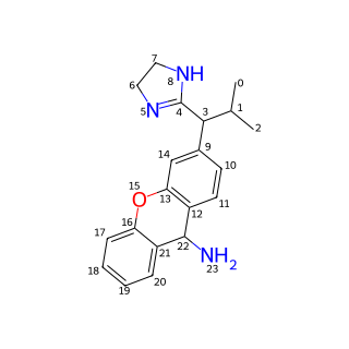 CC(C)C(C1=NCCN1)c1ccc2c(c1)Oc1ccccc1C2N